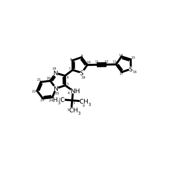 CC(C)(C)Nc1c(-c2ccc(C#Cc3ccsc3)s2)nc2ccccn12